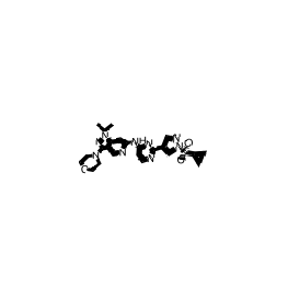 CC(C)n1nc(N2CCOCC2)c2cnc(Nc3ccnc(-c4cnn(S(=O)(=O)C5CC5)c4)n3)cc21